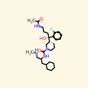 CNCC(CC1CCCCC1)NC(=O)N1CCC[C@@H]([C@@](O)(CCCNC(C)=O)c2ccccc2F)C1